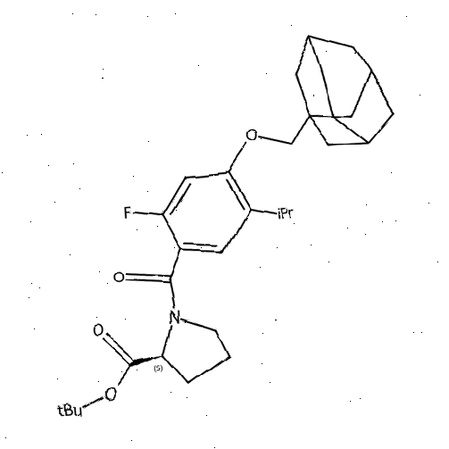 CC(C)c1cc(C(=O)N2CCC[C@H]2C(=O)OC(C)(C)C)c(F)cc1OCC12CC3CC(CC(C3)C1)C2